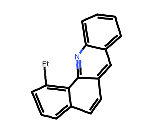 CCc1cccc2ccc3cc4ccccc4nc3c12